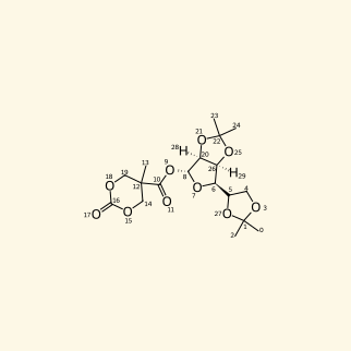 CC1(C)OCC([C@H]2O[C@H](OC(=O)C3(C)COC(=O)OC3)[C@H]3OC(C)(C)O[C@H]32)O1